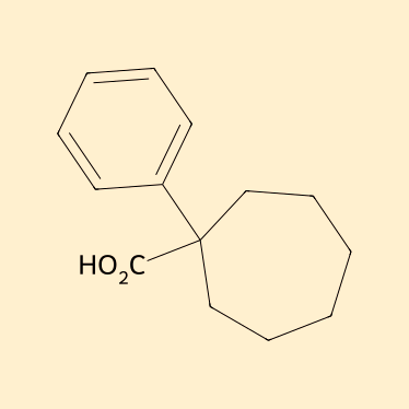 O=C(O)C1(c2ccccc2)CCCCCC1